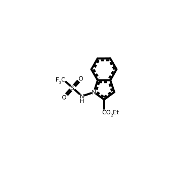 CCOC(=O)c1cc2ccccc2n1NS(=O)(=O)C(F)(F)F